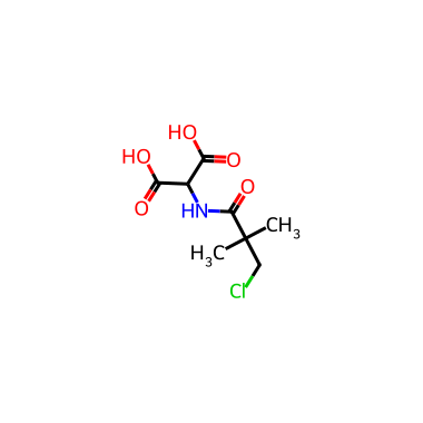 CC(C)(CCl)C(=O)NC(C(=O)O)C(=O)O